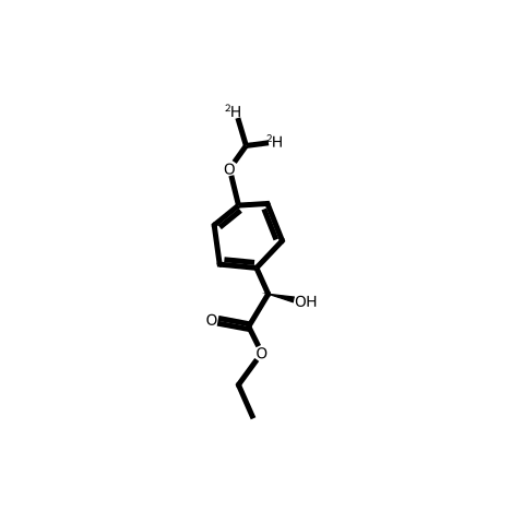 [2H]C([2H])Oc1ccc([C@@H](O)C(=O)OCC)cc1